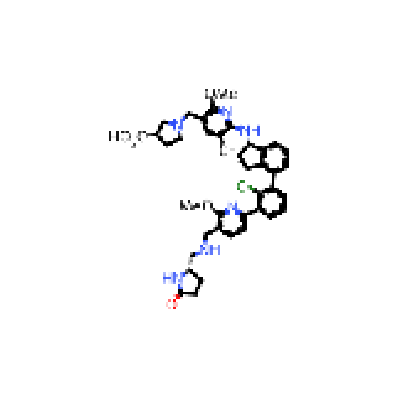 COc1nc(-c2cccc(-c3cccc4c3CC[C@@H]4Nc3nc(OC)c(CN4CC[C@@H](C(=O)O)C4)cc3C(F)(F)F)c2Cl)ccc1CNC[C@@H]1CCC(=O)N1